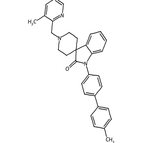 Cc1ccc(-c2ccc(N3C(=O)C4(CCN(Cc5ncccc5C)CC4)c4ccccc43)cc2)cc1